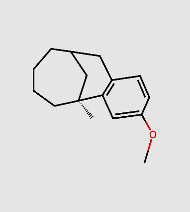 COc1ccc2c(c1)[C@@]1(C)CCCCC(C2)C1